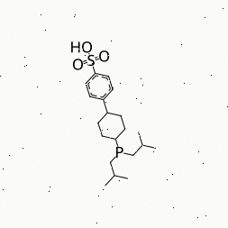 CC(C)CP(CC(C)C)C1CCC(c2ccc(S(=O)(=O)O)cc2)CC1